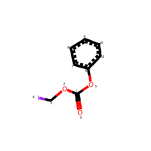 O=C(OCI)Oc1ccccc1